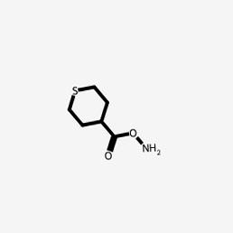 NOC(=O)C1CCSCC1